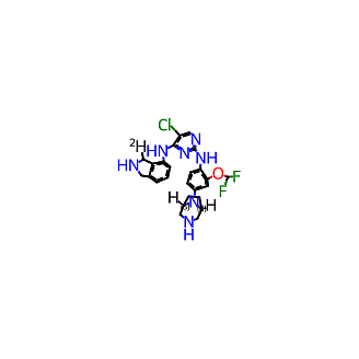 [2H]C1NCc2cccc(Nc3nc(Nc4ccc(N5[C@@H]6CC[C@H]5CNC6)cc4OC(F)F)ncc3Cl)c21